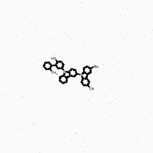 Cc1ccccc1-c1cc(-n2c3ccccc3c3cc(-n4c5ccc(C#N)cc5c5cc(C(C)(C)C)ccc54)ccc32)ccc1O